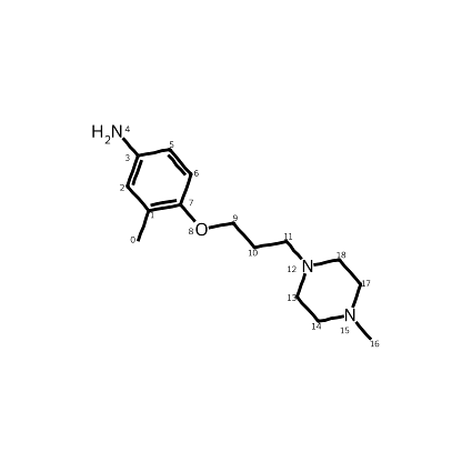 Cc1cc(N)ccc1OCCCN1CCN(C)CC1